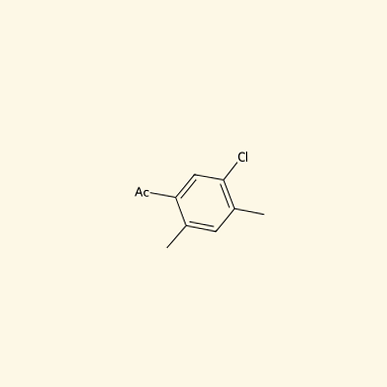 CC(=O)c1cc(Cl)c(C)cc1C